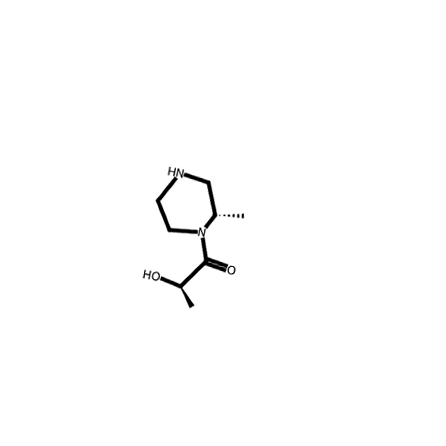 C[C@@H](O)C(=O)N1CCNC[C@@H]1C